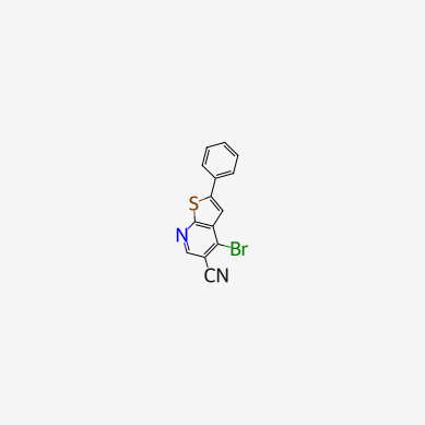 N#Cc1cnc2sc(-c3ccccc3)cc2c1Br